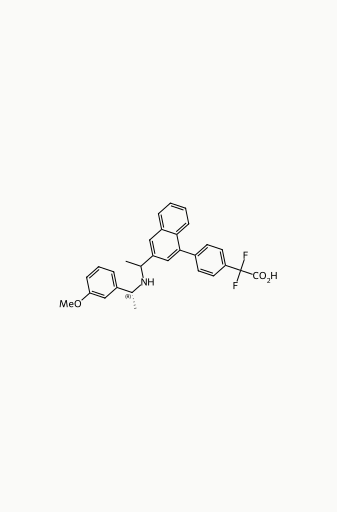 COc1cccc([C@@H](C)NC(C)c2cc(-c3ccc(C(F)(F)C(=O)O)cc3)c3ccccc3c2)c1